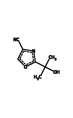 CC(C)(O)c1nc(C#N)co1